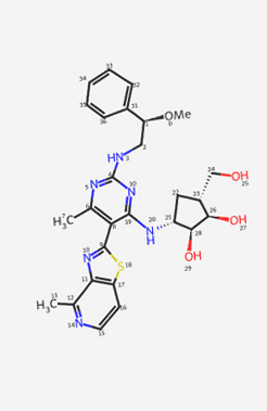 CO[C@@H](CNc1nc(C)c(-c2nc3c(C)nccc3s2)c(N[C@@H]2C[C@H](CO)[C@@H](O)[C@H]2O)n1)c1ccccc1